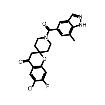 Cc1cc(C(=O)N2CCC3(CC2)CC(=O)c2cc(Cl)c(F)cc2O3)cc2cn[nH]c12